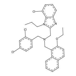 CCCn1c(CN(Cc2ccc(Cl)cc2Cl)Cc2c(OCC)ccc3ccccc23)nc2cccc(Cl)c21